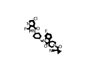 N#CC1(C(=O)N2CCC3(CC2)C(=O)N(C[C@H]2CC[C@H](NC(=O)c4cc(Cl)cnc4C(F)F)CC2)c2cc(F)ccc23)CC1